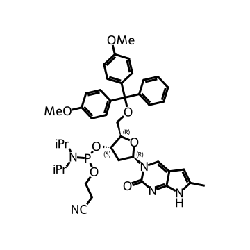 COc1ccc(C(OC[C@H]2O[C@@H](n3cc4cc(C)[nH]c4nc3=O)C[C@@H]2OP(OCCC#N)N(C(C)C)C(C)C)(c2ccccc2)c2ccc(OC)cc2)cc1